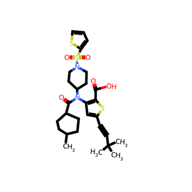 CC1CCC(C(=O)N(c2cc(C#CC(C)(C)C)sc2C(=O)O)C2CCN(S(=O)(=O)c3cccs3)CC2)CC1